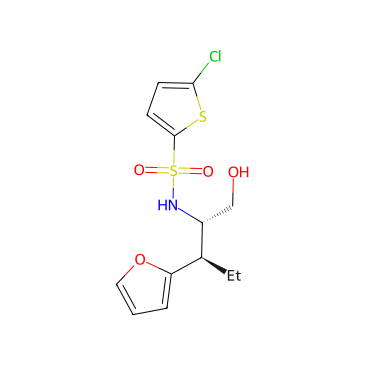 CC[C@@H](c1ccco1)[C@@H](CO)NS(=O)(=O)c1ccc(Cl)s1